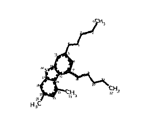 CCCCCc1cc(CCCCC)c2c(c1)sc1cc(C)cc(C)c12